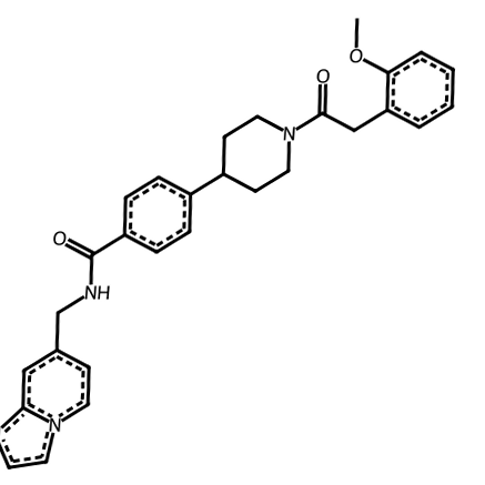 COc1ccccc1CC(=O)N1CCC(c2ccc(C(=O)NCc3ccn4ccnc4c3)cc2)CC1